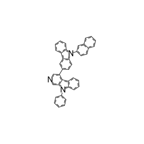 c1ccc(-n2c3ccccc3c3c(-c4ccc5c(c4)c4ccccc4n5-c4ccc5ccccc5c4)cncc32)cc1